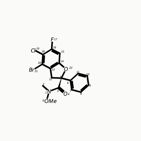 CON(C)C(=O)[C@@]1(c2ccccc2)Cc2c(cc(F)c(Cl)c2Br)O1